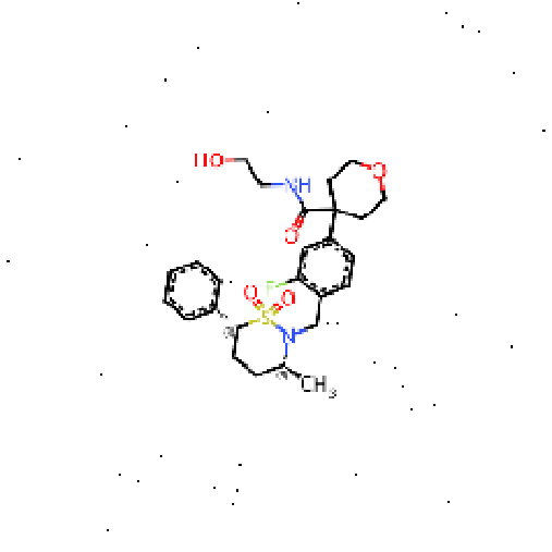 C[C@H]1CC[C@H](c2ccccc2)S(=O)(=O)N1Cc1ccc(C2(C(=O)NCCO)CCOCC2)cc1F